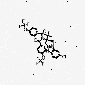 CC(C)(C)C(C#N)(Cn1nc2ccc(Cl)cc2n1)N(C(=O)c1ccc(OC(F)(F)F)cc1)C(=O)c1ccc(OC(F)(F)F)cc1